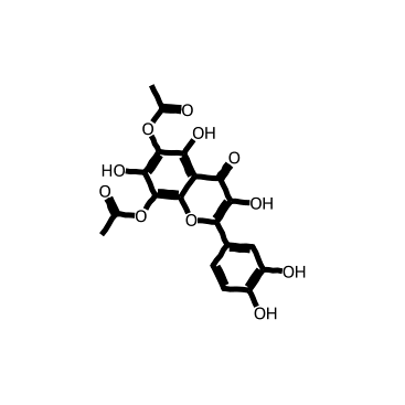 CC(=O)Oc1c(O)c(OC(C)=O)c2oc(-c3ccc(O)c(O)c3)c(O)c(=O)c2c1O